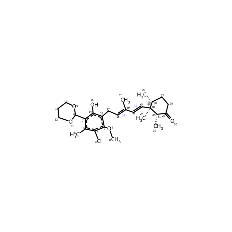 COc1c(Cl)c(C)c(C2OCCCO2)c(O)c1C/C=C(C)/C=C/[C@@]1(C)[C@H](C)CCC(=O)[C@@H]1C